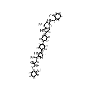 CC(C)[C@H](CC(=O)NCc1ccccc1Cl)c1ncc(-c2ccc(-c3ccc(-c4cnc([C@@H](CC(=O)NCc5ccccc5Cl)C(C)C)[nH]4)cc3)cc2)[nH]1